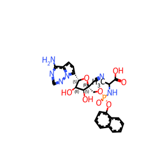 CC(NP(=O)(OC[C@@]1(C#N)O[C@@H](c2ccc3c(N)ncnn23)[C@H](O)[C@@H]1O)Oc1cccc2ccccc12)C(=O)O